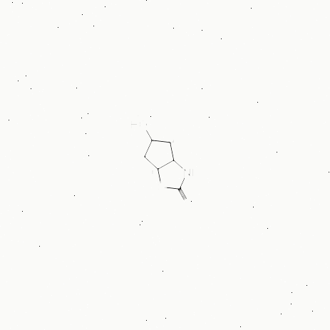 O=C1NC2CC(O)CC2O1